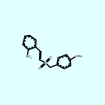 COc1ccc(CS(=O)(=O)C=Cc2ccccc2[N+](=O)[O-])cc1